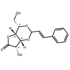 O=C1O[C@H]2[C@H](OC(C=Cc3ccccc3)O[C@H]2CO)[C@@H]1O